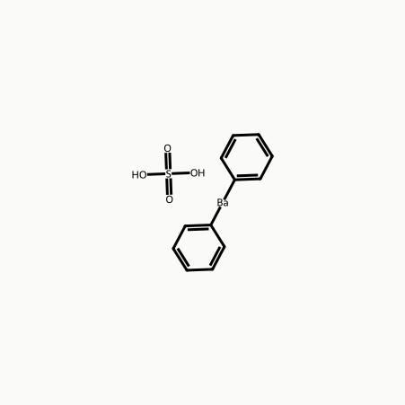 O=S(=O)(O)O.c1cc[c]([Ba][c]2ccccc2)cc1